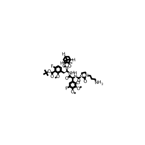 COc1c(F)cc(C(NC(=O)N2CCN(CCCN)C2=O)C(=O)N[C@@H](Cc2ccc(F)c(C(=O)OC(C)(C)C)c2OC)B2O[C@@H]3C[C@@H]4C[C@@H](C4(C)C)[C@]3(C)O2)c(Cl)c1OC